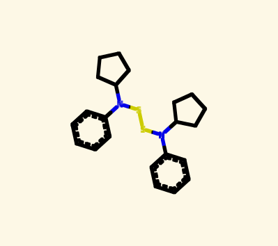 c1ccc(N(SSN(c2ccccc2)C2CCCC2)C2CCCC2)cc1